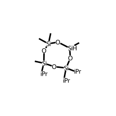 CC(C)[Si]1(C)O[Si](C)(C)O[SiH](C)O[Si](C(C)C)(C(C)C)O1